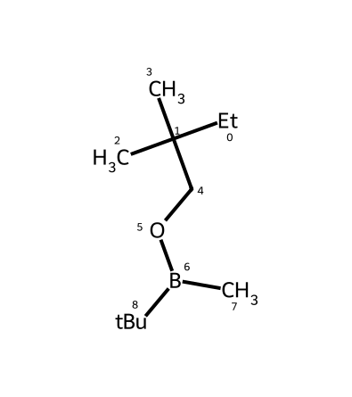 CCC(C)(C)COB(C)C(C)(C)C